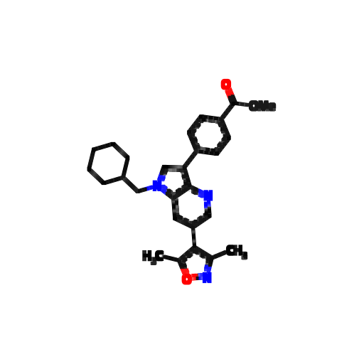 COC(=O)c1ccc(-c2cn(CC3CCCCC3)c3cc(-c4c(C)noc4C)cnc23)cc1